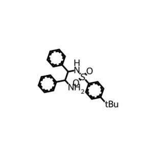 CC(C)(C)c1ccc(S(=O)(=O)NC(c2ccccc2)C(N)c2ccccc2)cc1